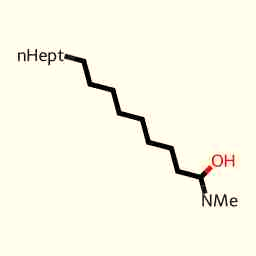 CCCCCCCCCCCCCCCC(O)NC